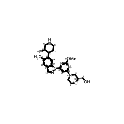 COc1nc(N2CCO[C@H](CO)C2)cc(-n2ncc3cc(C)c(C4CCNCC4F)cc32)n1